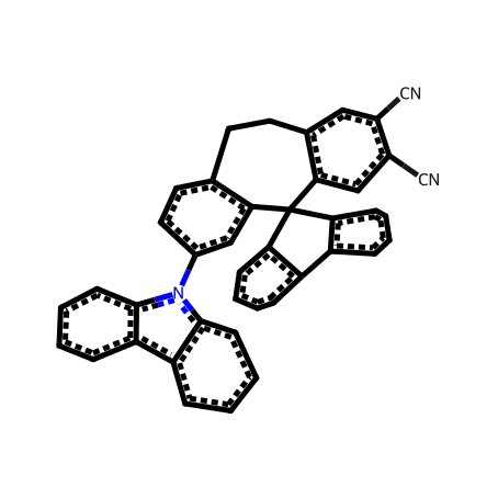 N#Cc1cc2c(cc1C#N)C1(c3cc(-n4c5ccccc5c5ccccc54)ccc3CC2)c2ccccc2-c2ccccc21